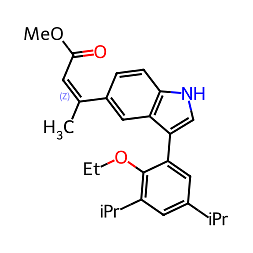 CCOc1c(-c2c[nH]c3ccc(/C(C)=C\C(=O)OC)cc23)cc(C(C)C)cc1C(C)C